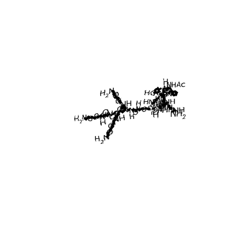 CC(=O)N[C@@H](Cc1c[nH]c2ccccc12)C(=O)N[C@@H](Cc1ccc(O)cc1)C(=O)N[C@@H](CCCNC(=N)N)C(=O)NCC(=O)N[C@@H](CCCNC(=N)N)C(=O)N[C@@H](CC(C)C)C(=O)NCCOCCOCCNC(=O)CNCCN(CCN(CCNCC(=O)NCCOCCOCCN)CC(=O)NCCOCCOCCN)CC(=O)NCCOCCOCCN